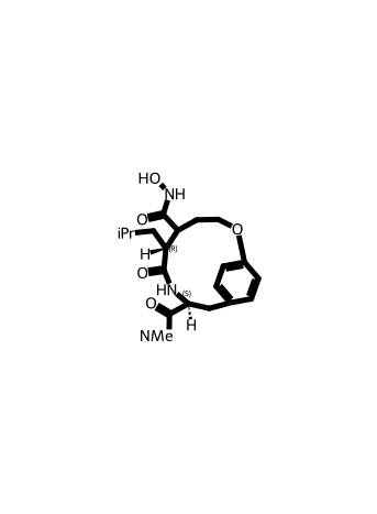 CNC(=O)[C@@H]1Cc2ccc(cc2)OCCC(C(=O)NO)[C@@H](CC(C)C)C(=O)N1